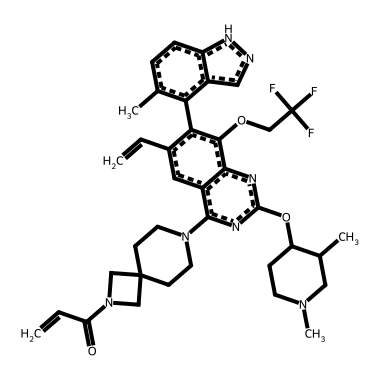 C=CC(=O)N1CC2(CCN(c3nc(OC4CCN(C)CC4C)nc4c(OCC(F)(F)F)c(-c5c(C)ccc6[nH]ncc56)c(C=C)cc34)CC2)C1